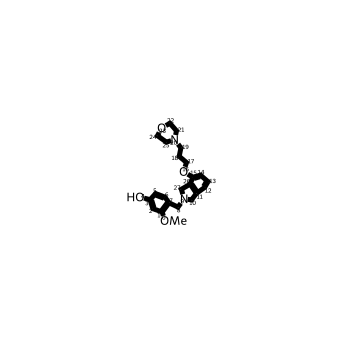 COc1cc(O)ccc1CN1Cc2cccc(OCCCN3CCOCC3)c2C1